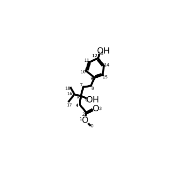 COC(=O)CC(O)(CCc1ccc(O)cc1)C(C)C